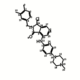 Cc1ccc(CN2C(=O)c3c(Nc4ccc(N5CCN(C)CC5)cn4)cncc3C2Cl)cc1C